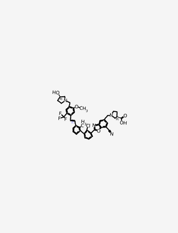 COc1cc(/C=C/c2cccc(-c3cccc(-c4nc5cc(CN6CC[C@@H](C(=O)O)C6)cc(C#N)c5o4)c3Cl)c2C)c(C(F)(F)F)cc1CN1CC[C@@H](O)C1